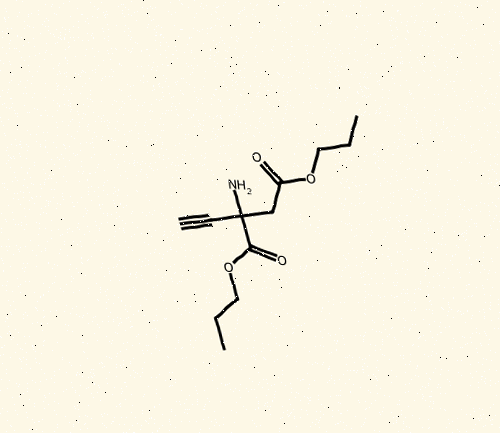 C#CC(N)(CC(=O)OCCC)C(=O)OCCC